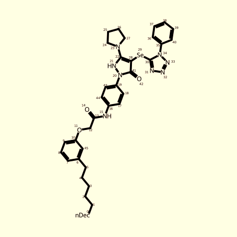 CCCCCCCCCCCCCCCc1cccc(OCC(=O)Nc2ccc(-n3[nH]c(N4CCCC4)c([Se]c4nnnn4-c4ccccc4)c3=O)cc2)c1